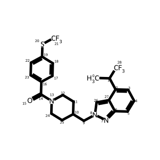 CC(c1cccc2nn(CC3CCN(C(=O)c4ccc(SC(F)(F)F)cc4)CC3)cc12)C(F)(F)F